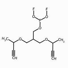 C#CC(C)OCC(COC(C)C#C)COP(OF)OF